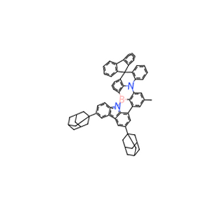 Cc1cc2c3c(c1)N1c4ccccc4C4(c5ccccc5-c5ccccc54)c4cccc(c41)B3n1c3ccc(C45CC6CC(CC(C6)C4)C5)cc3c3cc(C45CC6CC(CC(C6)C4)C5)cc-2c31